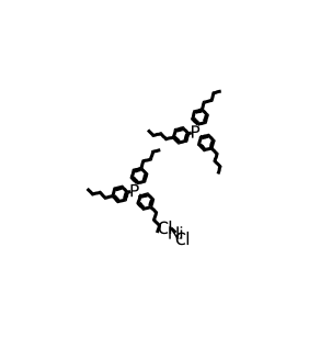 CCCCc1ccc(P(c2ccc(CCCC)cc2)c2ccc(CCCC)cc2)cc1.CCCCc1ccc(P(c2ccc(CCCC)cc2)c2ccc(CCCC)cc2)cc1.[Cl][Ni][Cl]